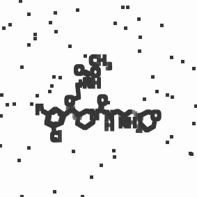 COC(=O)NCCO[C@@H](c1cc(F)cc(Cl)c1)[C@@H]1CCCN(C(=O)NC[C@@H](N)C[C@H]2CCCOC2)C1